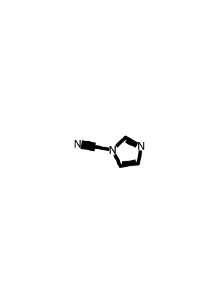 N#Cn1ccnc1